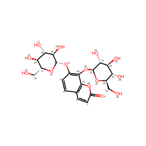 O=c1ccc2ccc(O[C@@H]3O[C@H](CO)[C@@H](O)[C@H](O)[C@H]3O)c(O[C@@H]3O[C@H](CO)[C@@H](O)[C@H](O)[C@H]3O)c2o1